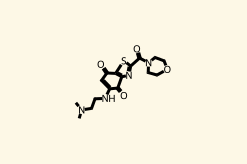 CN(C)CCNC1=CC(=O)c2sc(C(=O)N3CCOCC3)nc2C1=O